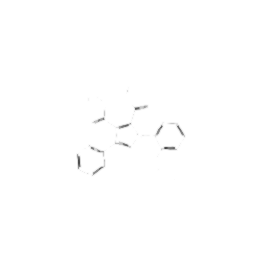 COC(=O)c1c(-c2ccccc2)cn(-c2ccccc2OC)c1C(=O)OC